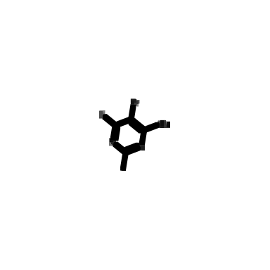 Cc1nc(F)c(Br)c(C(C)(C)C)n1